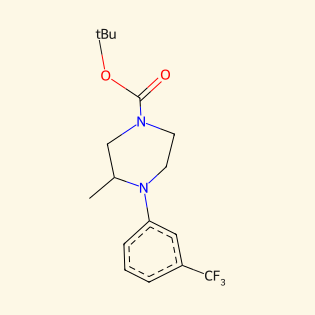 CC1CN(C(=O)OC(C)(C)C)CCN1c1cccc(C(F)(F)F)c1